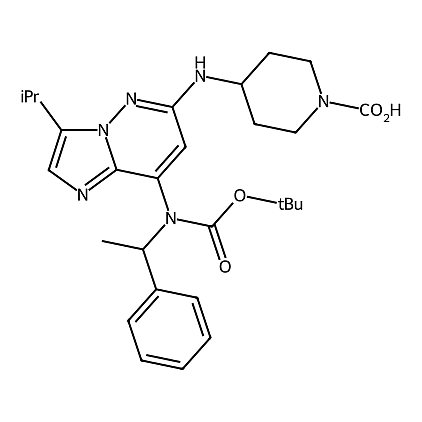 CC(C)c1cnc2c(N(C(=O)OC(C)(C)C)C(C)c3ccccc3)cc(NC3CCN(C(=O)O)CC3)nn12